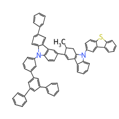 CC1Cc2c(c3ccccc3n2-c2ccc3sc4ccccc4c3c2)C=C1c1ccc2c(c1)c1cc(-c3ccccc3)ccc1n2-c1cccc(-c2cc(-c3ccccc3)cc(-c3ccccc3)c2)c1